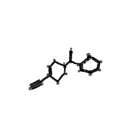 C#CC1=CCN(C(=O)c2ccccn2)CC1